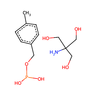 Cc1ccc(COP(O)O)cc1.NC(CO)(CO)CO